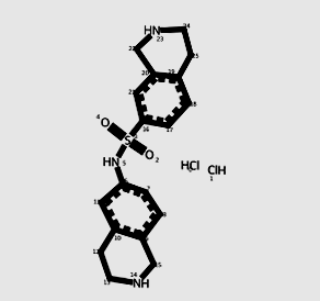 Cl.Cl.O=S(=O)(Nc1ccc2c(c1)CCNC2)c1ccc2c(c1)CNCC2